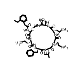 CCc1ccccc1CC(=O)N[C@H]1CCNC(=O)[C@H]([C@@H](C)O)NC(=O)[C@H](CCN)NC(=O)[C@H](CCN)NC(=O)[C@H](CC(C)C)NC(=O)[C@@H](Cc2ccccc2)NC(=O)[C@H](CCN)NC1=O